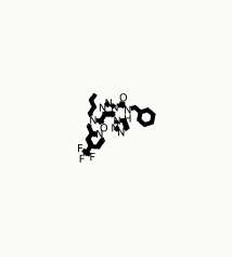 CCCCN(Cc1cc(C(F)(F)F)ccn1)C(=O)c1nnn(C(=O)NCC2CCCCC2)c1-n1ccnn1